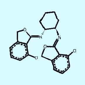 Clc1cccc2c1/C(=N/[C@@H]1CCCC[C@H]1/N=C1\OCc3cccc(Cl)c31)OC2